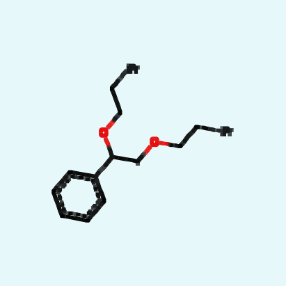 CC(C)CCO[CH]C(OCCC(C)C)c1ccccc1